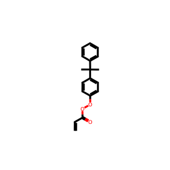 C=CC(=O)OOc1ccc(C(C)(C)c2ccccc2)cc1